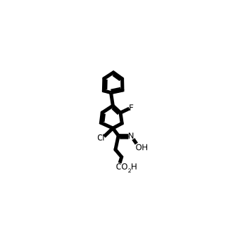 O=C(O)CCC(=NO)C1(Cl)C=CC(c2ccccc2)=C(F)C1